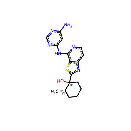 C[C@H]1CCCC[C@@]1(O)c1nc2ccnc(Nc3cc(N)ncn3)c2s1